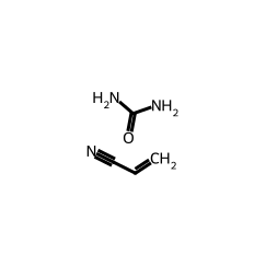 C=CC#N.NC(N)=O